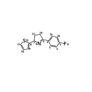 Fc1ccc(C2=NC(c3cccs3)CC2)cc1